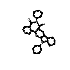 O=c1c2ccncc2c2nc3c(cc2c(=O)n1-c1ccccc1)c1ccccc1n3-c1ccccc1